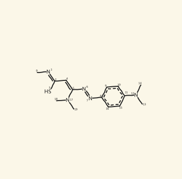 C/N=C(S)/C=C(/N=Nc1ccc(N(C)C)cc1)N(C)C